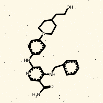 NC(=O)c1cnc(Nc2ccc(N3CCC(CCO)CC3)cc2)cc1NCc1ccccc1